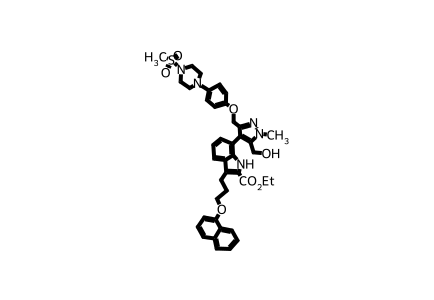 CCOC(=O)c1[nH]c2c(-c3c(COc4ccc(N5CCN(S(C)(=O)=O)CC5)cc4)nn(C)c3CO)cccc2c1CCCOc1cccc2ccccc12